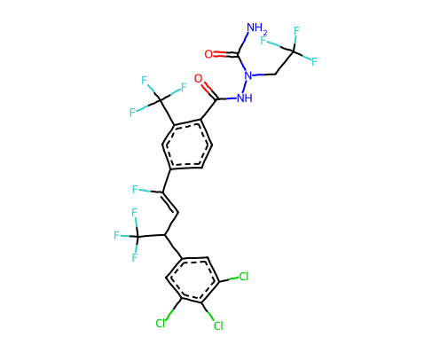 NC(=O)N(CC(F)(F)F)NC(=O)c1ccc(/C(F)=C/C(c2cc(Cl)c(Cl)c(Cl)c2)C(F)(F)F)cc1C(F)(F)F